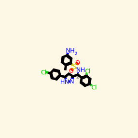 Cc1ccc(N)cc1S(=O)(=O)N[C@H](C1=NNC(c2ccc(Cl)cc2)C1)c1ccc(Cl)cc1Cl